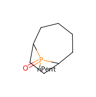 CCCCCP1(=O)C2CCCCC1CC2